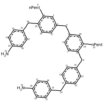 CCCCCc1cc(Cc2ccc(Cc3ccc(Cc4ccc(N)cc4)cc3)c(CCCCC)c2)ccc1Cc1ccc(N)cc1